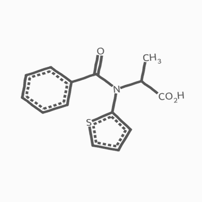 CC(C(=O)O)N(C(=O)c1ccccc1)c1cccs1